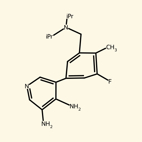 Cc1c(F)cc(-c2cncc(N)c2N)cc1CN(C(C)C)C(C)C